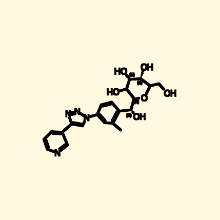 Cc1cc(-n2cc(-c3cccnc3)nn2)ccc1[C@@H](O)[C@H]1OC(CO)[C@@H](O)[C@H](O)C1O